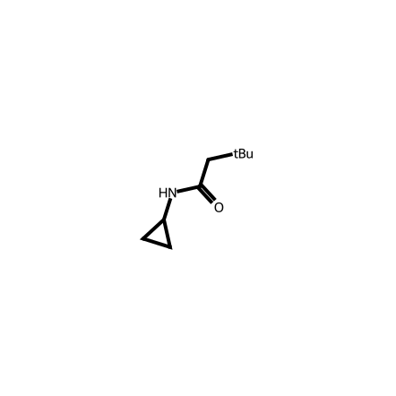 CC(C)(C)CC(=O)NC1CC1